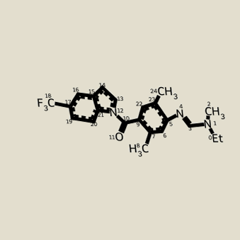 CCN(C)C=Nc1cc(C)c(C(=O)n2ccc3cc(C(F)(F)F)ccc32)cc1C